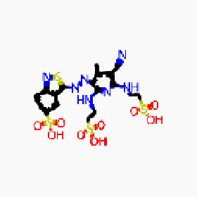 Cc1c(C#N)c(NCCS(=O)(=O)O)nc(NCCS(=O)(=O)O)c1/N=N/c1snc2ccc(S(=O)(=O)O)cc12